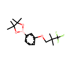 CC(C)(COc1cccc(B2OC(C)(C)C(C)(C)O2)c1)C(F)(F)F